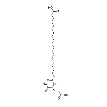 NC(=O)CC[C@H](NC(=O)CCCCCCCCCCCCCCCCCCC(=O)O)C(=O)O